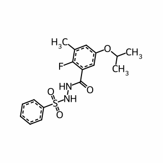 Cc1cc(OC(C)C)cc(C(=O)NNS(=O)(=O)c2ccccc2)c1F